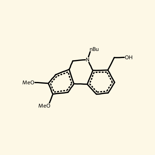 CCCCN1Cc2cc(OC)c(OC)cc2-c2cccc(CO)c21